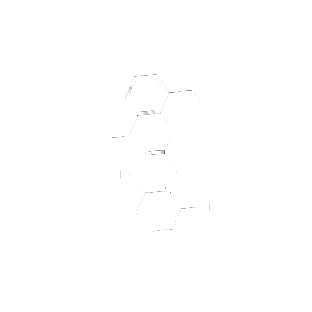 CCc1cccc(CC)c1OC(=O)CN1C(C)COCC1C